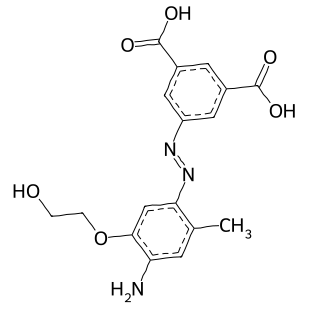 Cc1cc(N)c(OCCO)cc1N=Nc1cc(C(=O)O)cc(C(=O)O)c1